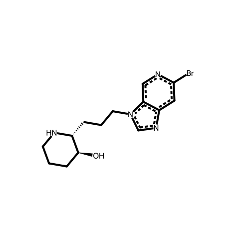 O[C@H]1CCCN[C@@H]1CCCn1cnc2cc(Br)ncc21